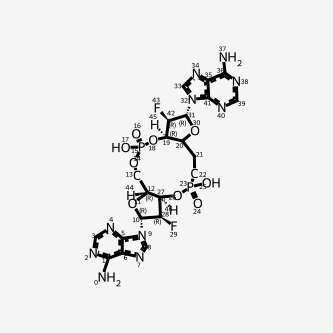 Nc1ncnc2c1ncn2[C@@H]1O[C@@H]2COP(=O)(O)O[C@@H]3C(CCP(=O)(O)O[C@H]2[C@H]1F)O[C@@H](n1cnc2c(N)ncnc21)[C@@H]3F